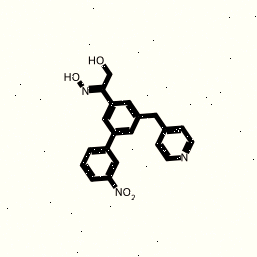 O=[N+]([O-])c1cccc(-c2cc(Cc3ccncc3)cc(C(CO)=NO)c2)c1